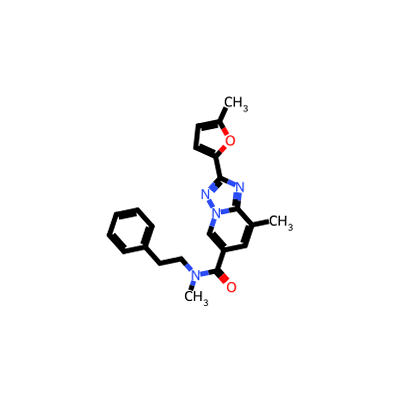 Cc1ccc(-c2nc3c(C)cc(C(=O)N(C)CCc4ccccc4)cn3n2)o1